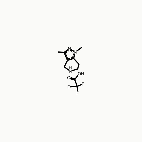 Cc1nn(C)c2c1CNCC2.O=C(O)C(F)(F)F